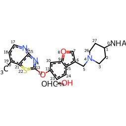 CC(=O)NC1CCN(Cc2coc3cc(Oc4nc5nccc(C)c5s4)ccc23)CC1.O=CO